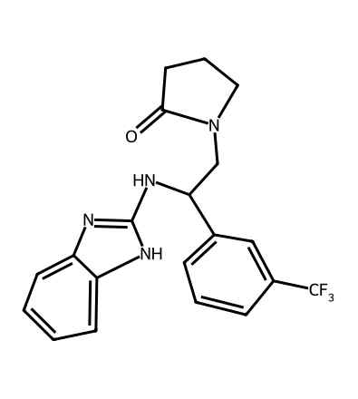 O=C1CCCN1CC(Nc1nc2ccccc2[nH]1)c1cccc(C(F)(F)F)c1